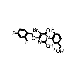 Cc1nc(OCc2ccc(F)cc2F)c(Br)c(=O)n1-c1cc(CO)ccc1F